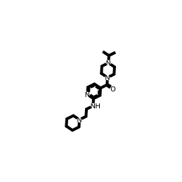 CC(C)N1CCN(C(=O)c2ccnc(NCCN3CCCCC3)c2)CC1